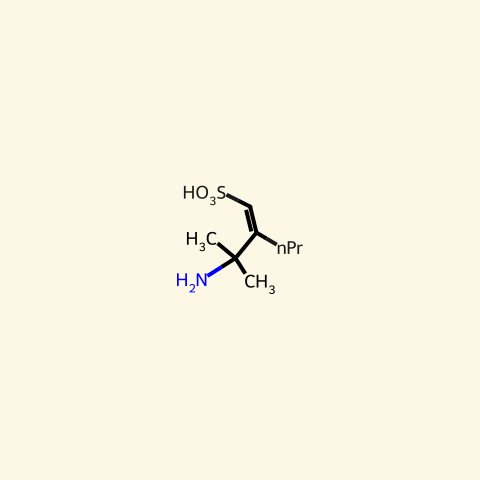 CCCC(=CS(=O)(=O)O)C(C)(C)N